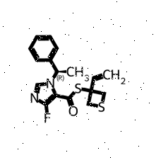 C=CC1(SC(=O)c2c(F)ncn2[C@H](C)c2ccccc2)CSC1